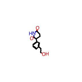 O=C1CCC(c2cccc(CCO)c2)C(=O)N1